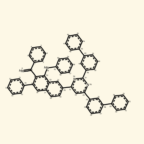 N=C(c1ccccc1)c1c(-c2ccccc2)cc2ccc(-c3cc(-c4cccc(-c5ccccc5)c4)nc(-c4cccc(-c5ccccc5)c4)n3)cc2c1Nc1ccccc1